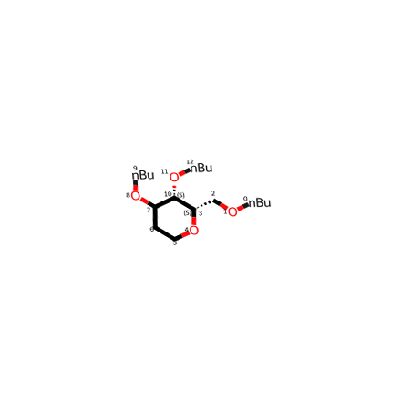 CCCCOC[C@@H]1OCCC(OCCCC)[C@@H]1OCCCC